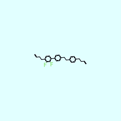 C=CCCc1ccc(CCc2ccc(-c3ccc(CCC=C)c(F)c3F)cc2)cc1